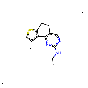 CCNc1ncc2c(n1)-c1ccsc1CC2